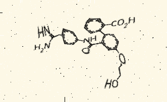 N=C(N)c1ccc(NC(=O)c2cc(OCCO)ccc2-c2ccccc2C(=O)O)cc1